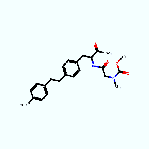 COC(=O)C(Cc1ccc(CCc2ccc(C(=O)O)cc2)cc1)NC(=O)CN(C)C(=O)OC(C)(C)C